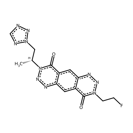 C[C@H](Cn1ncnn1)n1nnc2cc3c(=O)n(CCF)nnc3cc2c1=O